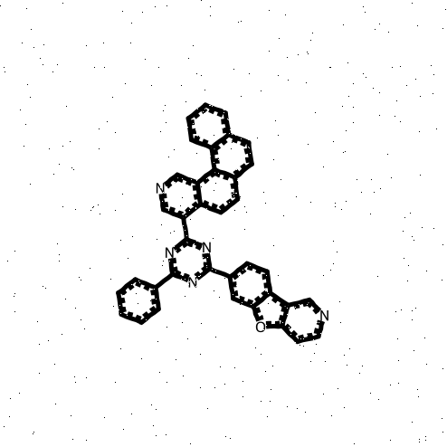 c1ccc(-c2nc(-c3ccc4c(c3)oc3ccncc34)nc(-c3cncc4c3ccc3ccc5ccccc5c34)n2)cc1